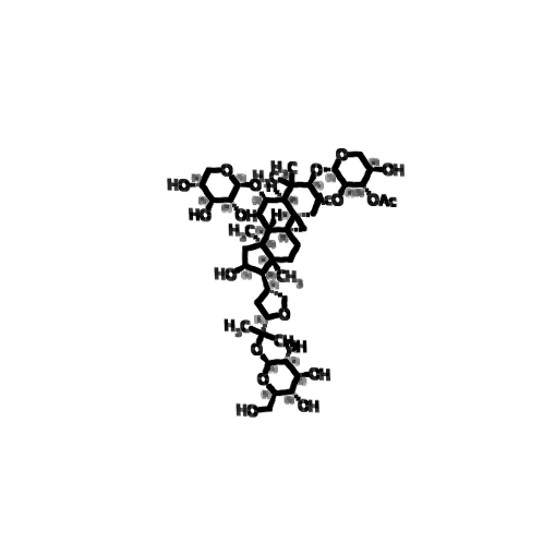 CC(=O)O[C@@H]1[C@@H](OC(C)=O)[C@H](O[C@H]2CC[C@]34C[C@@]35CC[C@]3(C)[C@@H]([C@@H]6CO[C@H](C(C)(C)O[C@@H]7O[C@H](CO)[C@@H](O)[C@H](O)[C@H]7O)C6)[C@@H](O)C[C@@]3(C)[C@@H]5C[C@H](O[C@@H]3OC[C@@H](O)[C@H](O)[C@H]3O)[C@H]4C2(C)C)OC[C@H]1O